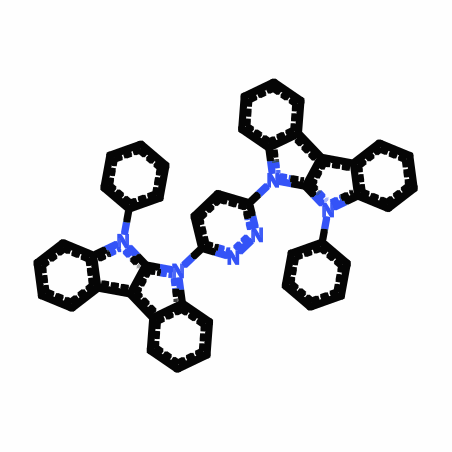 c1ccc(-n2c3ccccc3c3c4ccccc4n(-c4ccc(-n5c6ccccc6c6c7ccccc7n(-c7ccccc7)c65)nn4)c32)cc1